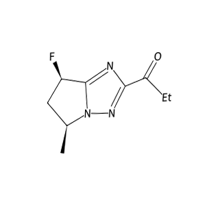 CCC(=O)c1nc2n(n1)[C@@H](C)C[C@H]2F